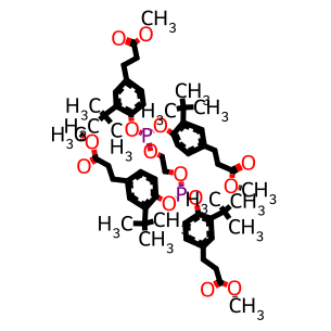 COC(=O)CCc1ccc(OP(OCCOP(Oc2ccc(CCC(=O)OC)cc2C(C)(C)C)Oc2ccc(CCC(=O)OC)cc2C(C)(C)C)Oc2ccc(CCC(=O)OC)cc2C(C)(C)C)c(C(C)(C)C)c1